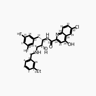 CCc1cccc(CNC[C@@H](O)[C@H](Cc2cc(F)cc(F)c2)NC(=O)c2cc(O)c3cc(Cl)ccc3n2)c1